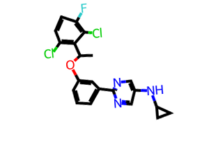 CC(Oc1cccc(-c2ncc(NC3CC3)cn2)c1)c1c(Cl)ccc(F)c1Cl